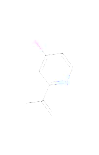 C=C(C)c1cc(I)ccn1